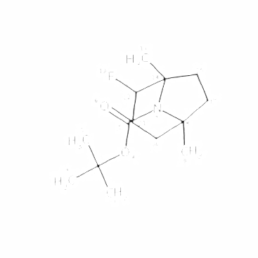 CC(C)(C)OC(=O)N1C2(C)CCC(F)C1(C)CC2